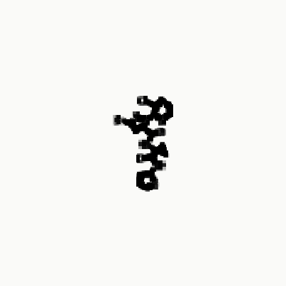 O=C(NC1(C(=O)Nc2cccs2)CC1)c1cc(Br)nn1-c1ncccc1Cl